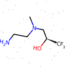 CN(CCN)C[C@H](O)C(F)(F)F